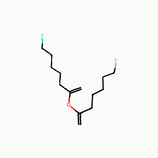 C=C(CCCCCF)OC(=C)CCCCCF